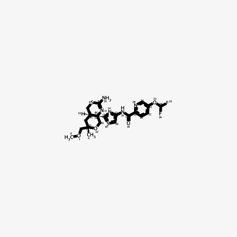 COC[C@]1(C)C[C@H]2CSC(N)=N[C@@]2(c2nc(NC(=O)c3ccc(OC(F)F)cn3)cs2)CO1